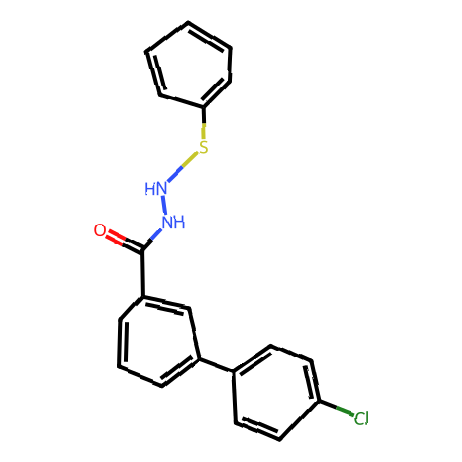 O=C(NNSc1ccccc1)c1cccc(-c2ccc(Cl)cc2)c1